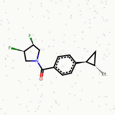 CC[C@H]1C[C@@H]1c1ccc(C(=O)N2C[C@@H](F)[C@@H](F)C2)cc1